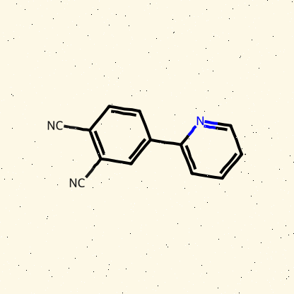 N#Cc1ccc(-c2cc[c]cn2)cc1C#N